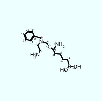 NCCN(CCC(N)CCCCB(O)O)Cc1ccccc1